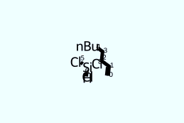 C=CCCCCCC.Cl[SiH](Cl)Cl